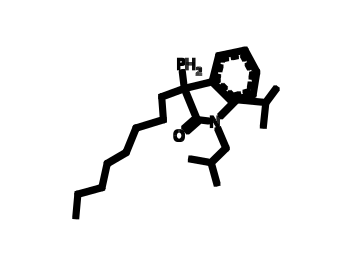 CCCCCCCCC(P)(C(=O)N(CC(C)C)CC(C)C)c1ccccc1